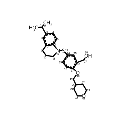 CC(C)c1ccc2c(c1)CCCN2Sc1ccc(OCC2CCOCC2)c(CO)c1